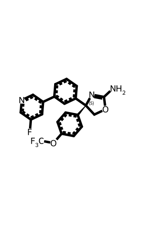 NC1=N[C@@](c2ccc(OC(F)(F)F)cc2)(c2cccc(-c3cncc(F)c3)c2)CO1